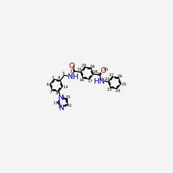 O=C(NCc1cccc(-n2ccnc2)c1)c1ccc(C(=O)Nc2ccccc2)cc1